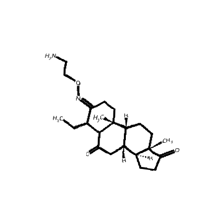 CCC1C(=NOCCN)CC[C@@]2(C)C1C(=O)C[C@@H]1[C@H]2CC[C@]2(C)C(=O)CC[C@@H]12